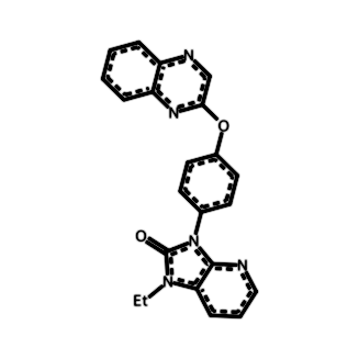 CCn1c(=O)n(-c2ccc(Oc3cnc4ccccc4n3)cc2)c2ncccc21